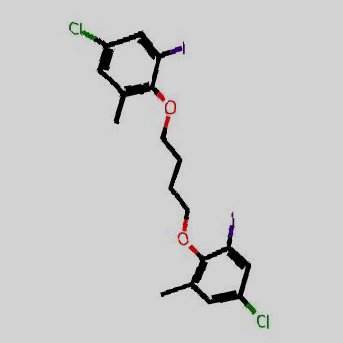 Cc1cc(Cl)cc(I)c1OCCCCOc1c(C)cc(Cl)cc1I